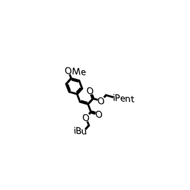 CCCC(C)COC(=O)/C(=C\c1ccc(OC)cc1)C(=O)OCC(C)CC